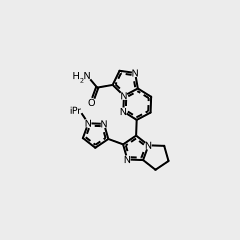 CC(C)n1ccc(-c2nc3n(c2-c2ccc4ncc(C(N)=O)n4n2)CCC3)n1